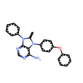 C=C1N(c2ccccc2)c2ncnc(N)c2N1c1ccc(Oc2ccccc2)cc1